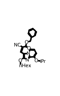 CCCCCCOc1nc2c(OC(C)C)cccn2c1/C=C(/C#N)C(=O)OCc1ccccc1